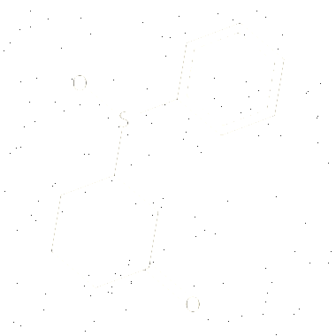 O=C1CCCC([S+]([O-])c2ccccc2)C1